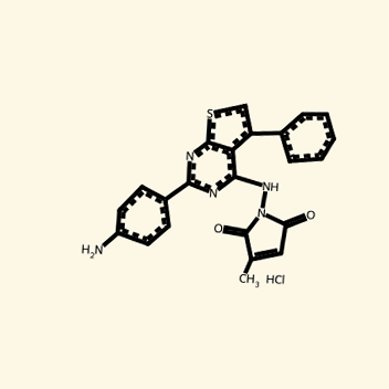 CC1=CC(=O)N(Nc2nc(-c3ccc(N)cc3)nc3scc(-c4ccccc4)c23)C1=O.Cl